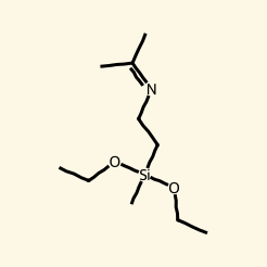 CCO[Si](C)(CCN=C(C)C)OCC